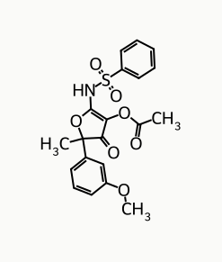 COc1cccc(C2(C)OC(NS(=O)(=O)c3ccccc3)=C(OC(C)=O)C2=O)c1